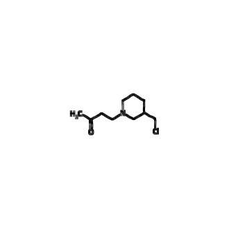 CC(=O)CCN1CCCC(CCl)C1